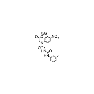 Cc1cccc(NC(=O)NCC(=O)N(CC(=O)OC(C)(C)C)c2ccc([N+](=O)[O-])cc2)c1